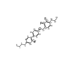 CCCCc1ccc(-c2ccc(OCc3ccc(CCC)c(F)c3F)cc2)c(F)c1